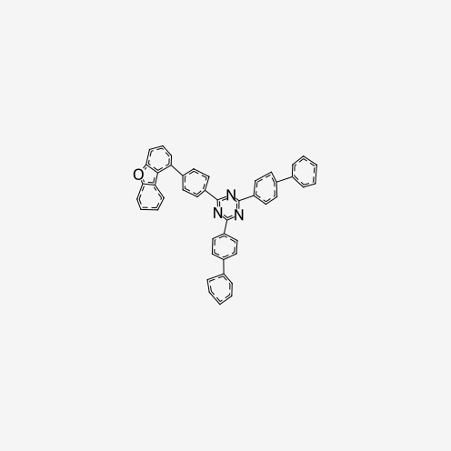 c1ccc(-c2ccc(-c3nc(-c4ccc(-c5ccccc5)cc4)nc(-c4ccc(-c5cccc6oc7ccccc7c56)cc4)n3)cc2)cc1